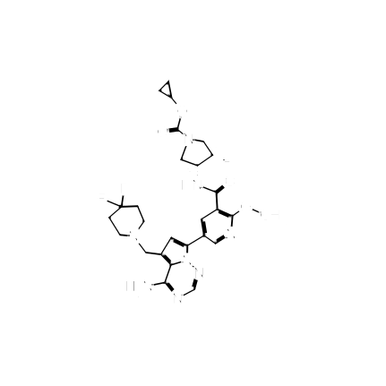 COc1ncc(-c2cc(CN3CCC(F)(F)CC3)c3c(N)ncnn23)cc1C(=O)N[C@@H]1CN(C(=O)OC2CC2)C[C@@H]1F